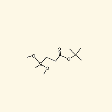 CO[Si](C)(CCC(=O)OC(C)(C)C)OC